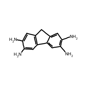 Nc1cc2c(cc1N)-c1cc(N)c(N)cc1C2